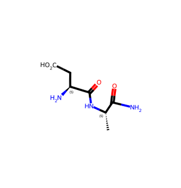 C[C@H](NC(=O)[C@@H](N)CC(=O)O)C(N)=O